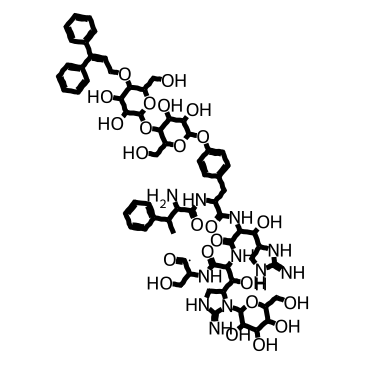 CC(c1ccccc1)C(N)C(=O)NC(Cc1ccc(OC2OC(CO)C(OC3OC(CO)C(OCC=C(c4ccccc4)c4ccccc4)C(O)C3O)C(O)C2O)cc1)C(=O)NC(C(=O)NC(C(=O)NC([C]=O)CO)C(O)C1CNC(=N)N1C1OC(CO)C(O)C(O)C1O)C(O)C1CNC(=N)N1